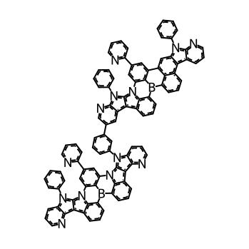 c1ccc(-n2c3cc4c5c(cccc5c3c3cccnc32)B2c3c-4cc(-c4ccccn4)cc3-n3c4c2cccc4c2c4cc(-c5cccc(-n6c7cccnc7c7c8cccc9c8n(c76)-c6cc(-c7ccccn7)cc7c6B9c6cccc8c9c%10ncccc%10n(-c%10ccccc%10)c9n-7c68)c5)cnc4n(-c4ccccc4)c23)cc1